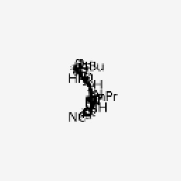 CCCNc1nc(Nc2ccc(C#N)cc2)ncc1C#CCCC(=O)NCCN(C)C(=O)OC(C)(C)C